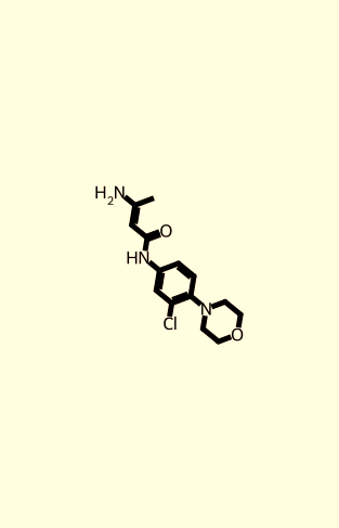 C/C(N)=C\C(=O)Nc1ccc(N2CCOCC2)c(Cl)c1